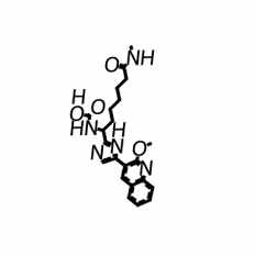 CNC(=O)CCCCCC(NC(=O)O)c1ncc(-c2cc3ccccc3nc2OC)[nH]1